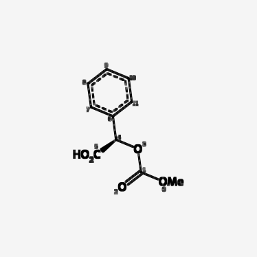 COC(=O)O[C@@H](C(=O)O)c1ccccc1